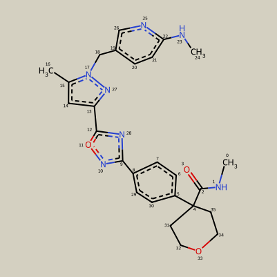 CNC(=O)C1(c2ccc(-c3noc(-c4cc(C)n(Cc5ccc(NC)nc5)n4)n3)cc2)CCOCC1